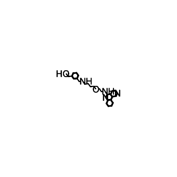 OCc1cccc(CNCCCCOCCNc2nc3ccccc3c3cnccc23)c1